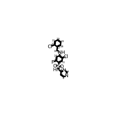 O=S(=O)(Nc1ccncn1)c1cc(Cl)c(NCc2ccccc2Cl)cc1F